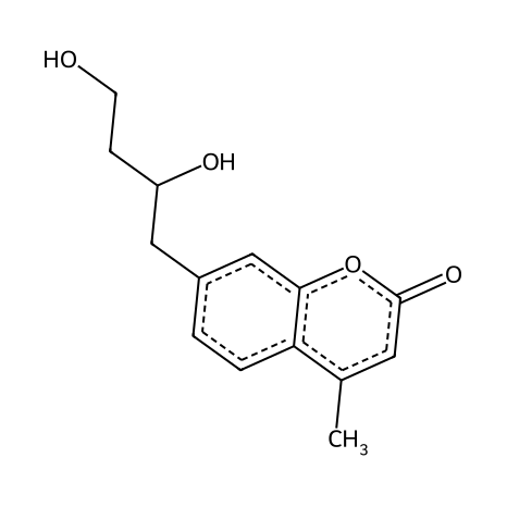 Cc1cc(=O)oc2cc(CC(O)CCO)ccc12